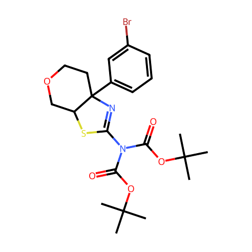 CC(C)(C)OC(=O)N(C(=O)OC(C)(C)C)C1=NC2(c3cccc(Br)c3)CCOCC2S1